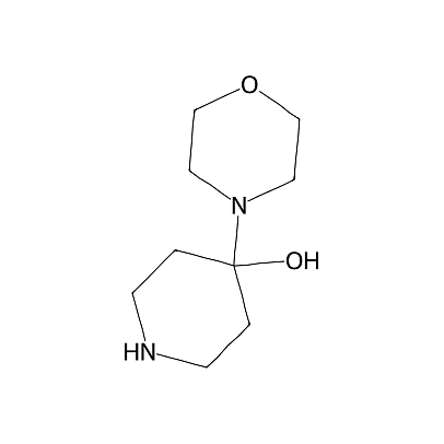 OC1(N2CCOCC2)CCNCC1